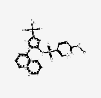 C=C(/C=C\C(=C/C)S(=O)(=O)Nc1cc(C(C)(F)F)nn1-c1cccc2ncccc12)OC(C)C